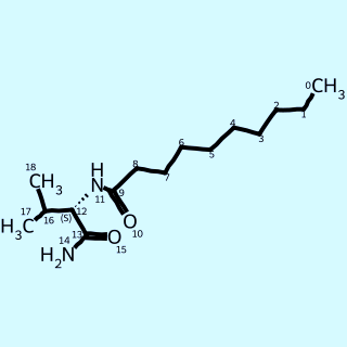 CCCCCCCCCC(=O)N[C@H](C(N)=O)C(C)C